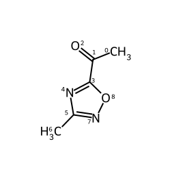 CC(=O)c1nc(C)no1